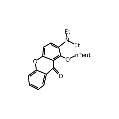 CCCCCOc1c(N(CC)CC)ccc2oc3ccccc3c(=O)c12